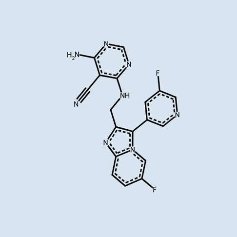 N#Cc1c(N)ncnc1NCc1nc2ccc(F)cn2c1-c1cncc(F)c1